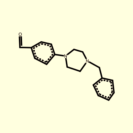 O=Cc1ccc(N2CCN(Cc3ccccc3)CC2)cc1